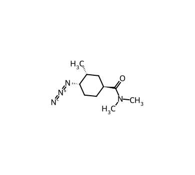 C[C@@H]1C[C@@H](C(=O)N(C)C)CC[C@@H]1N=[N+]=[N-]